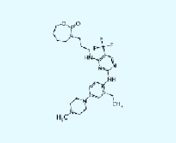 CCc1cc(N2CCN(C)CC2)ccc1Nc1ncc(C(F)(F)F)c(NCCCN2CCCCOC2=O)n1